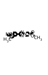 CCOC(=O)N1CCN(c2ncc(-c3cccc(CN(C)C(=O)CN)c3)cn2)CC1